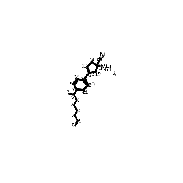 CCCCCCC(C)c1ccc(C2CCC(N)(C#N)C2)cc1